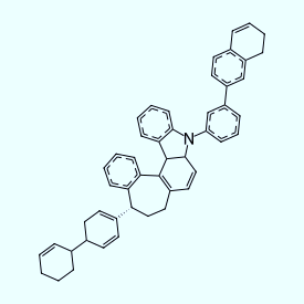 C1=CC(C2C=CC([C@H]3CCC4=C(c5ccccc53)C3c5ccccc5N(c5cccc(-c6ccc7c(c6)CCC=C7)c5)C3C=C4)=CC2)CCC1